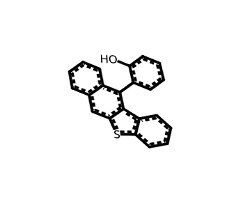 Oc1ccccc1-c1c2ccccc2cc2sc3ccccc3c12